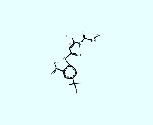 CNC(=O)N/C(C)=C\C(=N)Oc1ccc(C(F)(F)F)cc1[N+](=O)[O-]